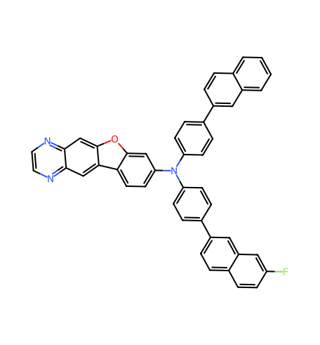 Fc1ccc2ccc(-c3ccc(N(c4ccc(-c5ccc6ccccc6c5)cc4)c4ccc5c(c4)oc4cc6nccnc6cc45)cc3)cc2c1